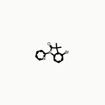 CC1(C)C(=O)N(c2ccccn2)c2cccc(Br)c21